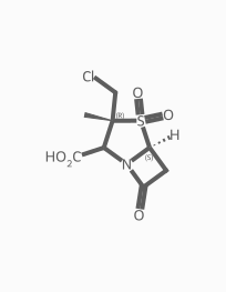 C[C@]1(CCl)C(C(=O)O)N2C(=O)C[C@@H]2S1(=O)=O